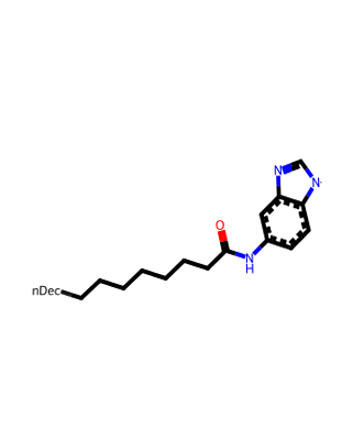 CCCCCCCCCCCCCCCCCC(=O)Nc1ccc2c(c1)N=C[N]2